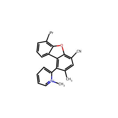 Cc1cc(C#N)c2oc3c(C(C)C)cccc3c2c1-c1cccc[n+]1C